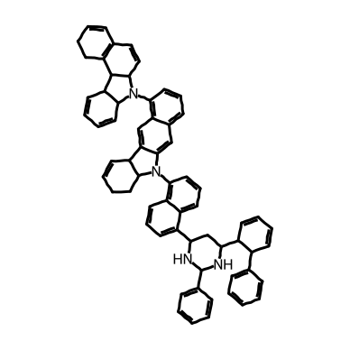 C1=CC(c2ccccc2)C(C2CC(c3cccc4c(N5c6cc7cccc(N8C9C=CC=CC9C9C%10=C(C=CCC%10)C=CC98)c7cc6C6C=CCCC65)cccc34)NC(c3ccccc3)N2)C=C1